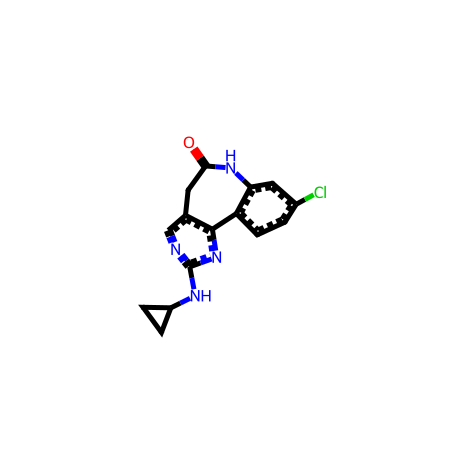 O=C1Cc2cnc(NC3CC3)nc2-c2ccc(Cl)cc2N1